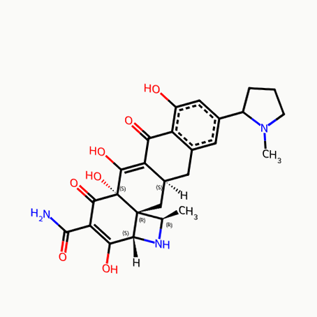 C[C@H]1N[C@@H]2C(O)=C(C(N)=O)C(=O)[C@@]3(O)C(O)=C4C(=O)c5c(O)cc(C6CCCN6C)cc5C[C@H]4C[C@]213